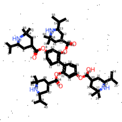 CC(C)C1CC(C(=O)Oc2ccc(-c3ccc(OC(O)C4CC(C(C)C)NC(C)(C)C4)cc3OC(=O)C3CC(C(C)C)NC(C)(C)C3)c(OC(=O)C3CC(C(C)C)NC(C)(C)C3)c2)CC(C)(C)N1